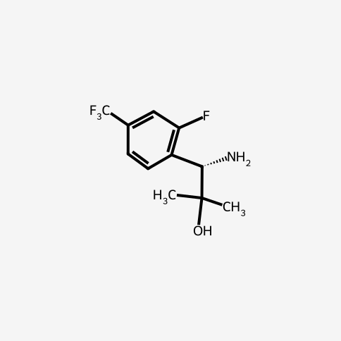 CC(C)(O)[C@@H](N)c1ccc(C(F)(F)F)cc1F